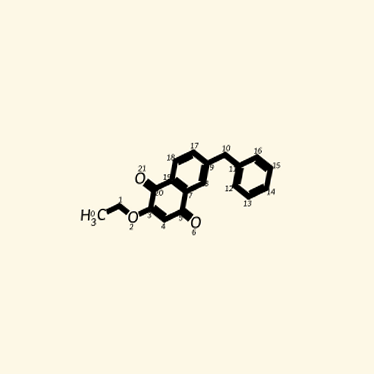 CCOC1=CC(=O)c2cc(Cc3ccccc3)ccc2C1=O